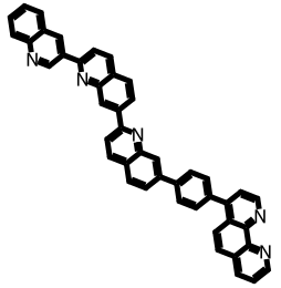 c1ccc2ncc(-c3ccc4ccc(-c5ccc6ccc(-c7ccc(-c8ccnc9c8ccc8cccnc89)cc7)cc6n5)cc4n3)cc2c1